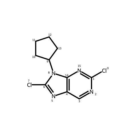 Clc1ncc2nc(Cl)n(C3CCCC3)c2n1